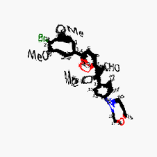 COc1cc(-c2ccc(C(C=O)(OC)c3ccc(N4CCOCC4)cc3)o2)cc(OC)c1Br